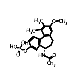 COc1cc2c(c(C)c1C)-c1ccc(OP(=O)(O)O)cc1[C@@H](NC(C)=O)CC2